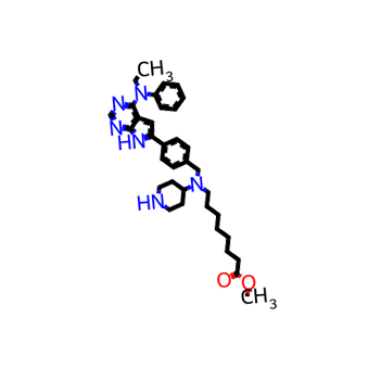 CCN(c1ccccc1)c1ncnc2[nH]c(-c3ccc(CN(CCCCCCCC(=O)OC)C4CCNCC4)cc3)cc12